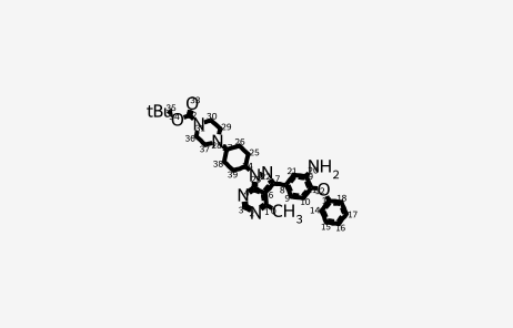 Cc1ncnc2c1c(-c1ccc(Oc3ccccc3)c(N)c1)nn2C1CCC(N2CCN(C(=O)OC(C)(C)C)CC2)CC1